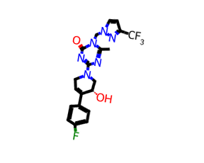 Cc1nc(N2CC=C(c3ccc(F)cc3)[C@@H](O)C2)nc(=O)n1Cn1ccc(C(F)(F)F)n1